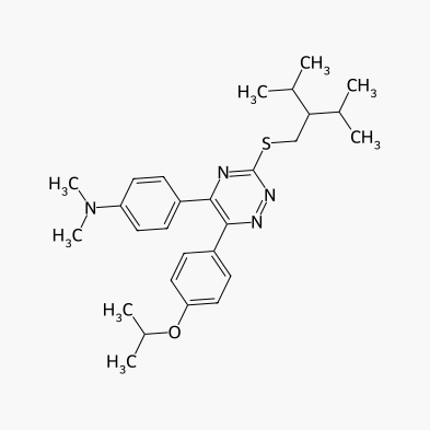 CC(C)Oc1ccc(-c2nnc(SCC(C(C)C)C(C)C)nc2-c2ccc(N(C)C)cc2)cc1